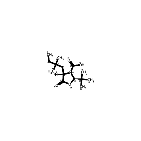 [2H][C@]1(CC(C)(C)CC)C(=O)O[C@H](C(C)(C)C)N1C(=O)O